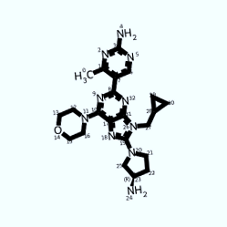 Cc1nc(N)ncc1-c1nc(N2CCOCC2)c2nc(N3CC[C@@H](N)C3)n(CC3CC3)c2n1